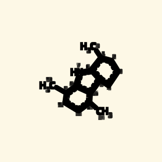 Cc1cccc2c1[nH]c1c(C)ccc(C)c12